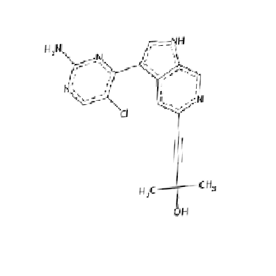 CC(C)(O)C#Cc1cc2c(-c3nc(N)ncc3Cl)c[nH]c2cn1